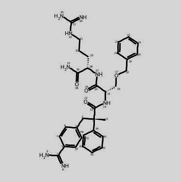 C[C@@](Cc1ccc(C(=N)N)cc1)(C(=O)N[C@@H](COCc1ccccc1)C(=O)N[C@@H](CCCNC(=N)N)C(N)=O)c1ccccc1